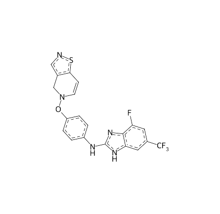 Fc1cc(C(F)(F)F)cc2[nH]c(Nc3ccc(ON4C=Cc5sncc5C4)cc3)nc12